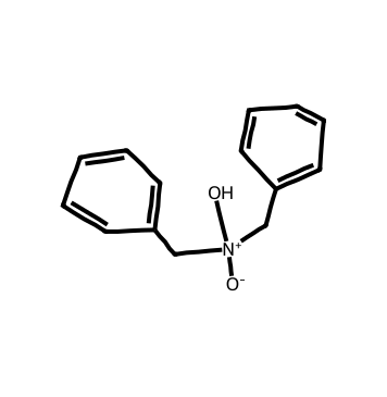 [O-][N+](O)(Cc1ccccc1)Cc1ccccc1